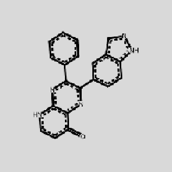 O=c1cc[nH]c2nc(-c3ccccc3)c(-c3ccc4[nH]ncc4c3)nc12